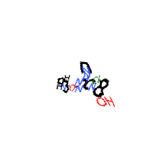 Oc1cc(N2CCc3c(nc(OC[C@]45CCCN4[C@H]4CCC[C@H]4C5)nc3N3CC4CCC(C3)N4)C2)c2c(Cl)cccc2c1